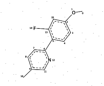 COc1ccc(-c2ccc(C)cn2)c(F)c1